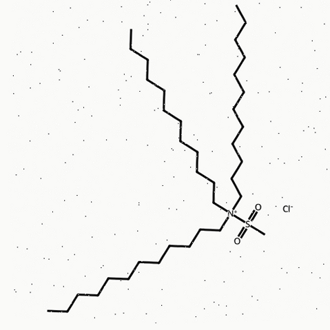 CCCCCCCCCCCC[N+](CCCCCCCCCCCC)(CCCCCCCCCCCC)S(C)(=O)=O.[Cl-]